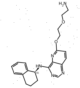 NCCOCCOc1ccc2ncnc(N[C@H]3CCCc4ccccc43)c2n1